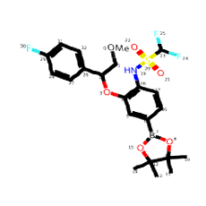 COCC(Oc1cc(B2OC(C)(C)C(C)(C)O2)ccc1NS(=O)(=O)C(F)F)c1ccc(F)cc1